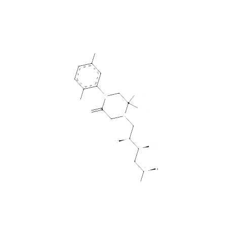 CC(C)[C@H](C[C@H](O)[C@@H](N)CN1CC(=O)N(c2cc(F)ccc2Cl)CC1(C)C)C(=O)O